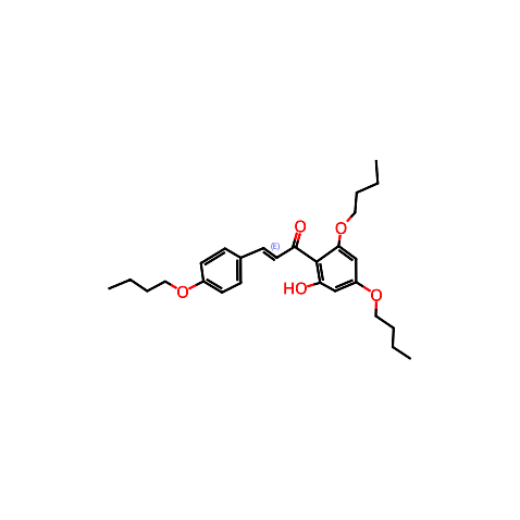 CCCCOc1ccc(/C=C/C(=O)c2c(O)cc(OCCCC)cc2OCCCC)cc1